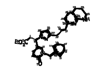 CCOC(=O)C[C@@H](c1ccc(=O)n(Cc2ccccc2)c1)n1ccc(CCCc2ccc3c(n2)NCCC3)n1